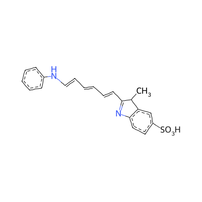 CC1C(/C=C/C=C/C=C/Nc2ccccc2)=Nc2ccc(S(=O)(=O)O)cc21